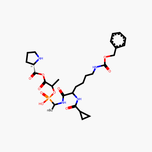 CCCCC(NC(=O)C(CCCCNC(=O)OCc1ccccc1)NC(=O)C1CC1)P(=O)(O)OC(C)C(=O)OC(=O)[C@@H]1CCCN1